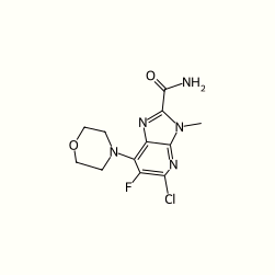 Cn1c(C(N)=O)nc2c(N3CCOCC3)c(F)c(Cl)nc21